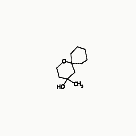 CC1(O)CCOC2(CCCCC2)C1